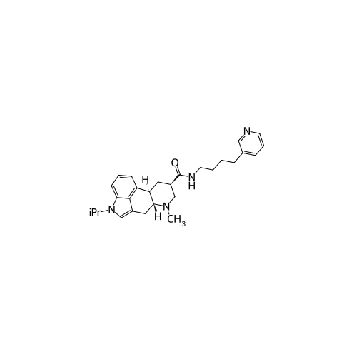 CC(C)n1cc2c3c(cccc31)[C@H]1C[C@@H](C(=O)NCCCCc3cccnc3)CN(C)[C@@H]1C2